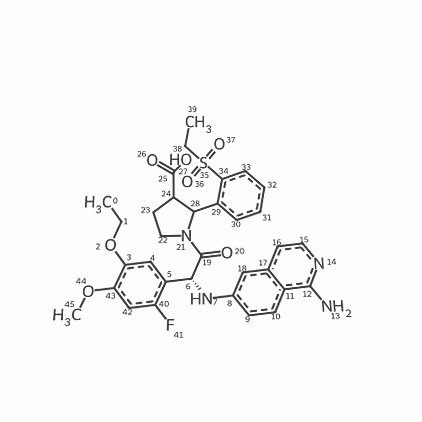 CCOc1cc([C@@H](Nc2ccc3c(N)nccc3c2)C(=O)N2CCC(C(=O)O)C2c2ccccc2S(=O)(=O)CC)c(F)cc1OC